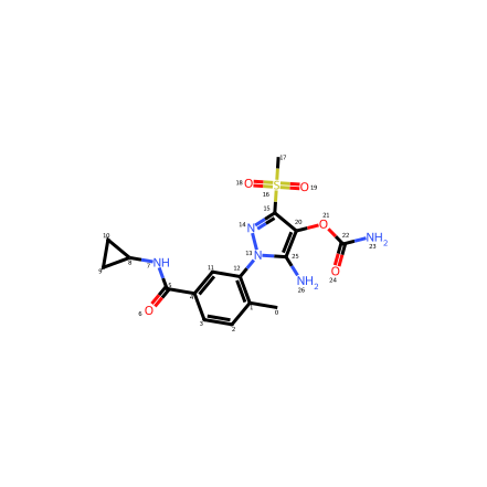 Cc1ccc(C(=O)NC2CC2)cc1-n1nc(S(C)(=O)=O)c(OC(N)=O)c1N